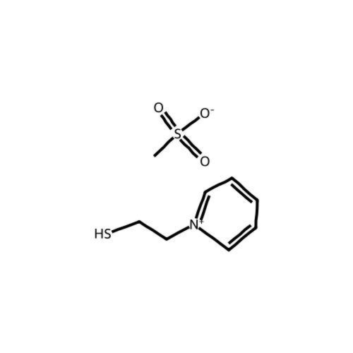 CS(=O)(=O)[O-].SCC[n+]1ccccc1